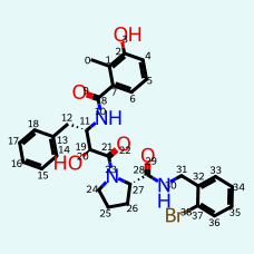 Cc1c(O)cccc1C(=O)N[C@@H](Cc1ccccc1)[C@H](O)C(=O)N1CCC[C@H]1C(=O)NCc1ccccc1Br